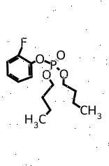 CCCCOP(=O)(OCCCC)Oc1ccccc1F